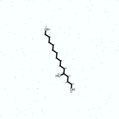 OCCCCCCCCCCC(O)CCCO